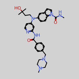 CNC(=O)n1ccc2cc(N(CCC(C)(C)O)c3ccnc(NC(=O)c4ccc(CN5CCN(C)CC5)cc4)c3)ccc21